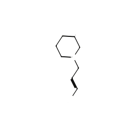 O=C(O)C=CCN1CCCCC1